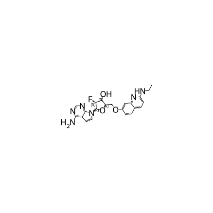 CCNc1ccc2ccc(OC[C@H]3O[C@@H](n4ccc5c(N)ncnc54)[C@@H](F)[C@@H]3O)cc2n1